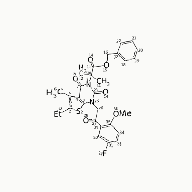 CCc1sc2c(c1C)c(=O)n(C(C)(C)C(=O)OCc1ccccc1)c(=O)n2CC(=O)c1cc(F)ccc1OC